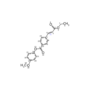 CCOC(=O)/C=C/c1ccc(C(=O)Oc2ccc(OC)cc2)cc1